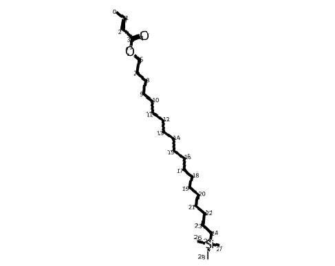 CC=CC(=O)OCCCCCCCCCCCCCCCCCCC[Si](C)(C)I